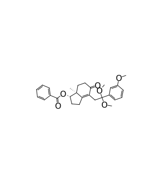 COc1cccc(C(CC2=C3CC[C@H](OC(=O)c4ccccc4)[C@@]3(C)CCC2=O)(OC)OC)c1